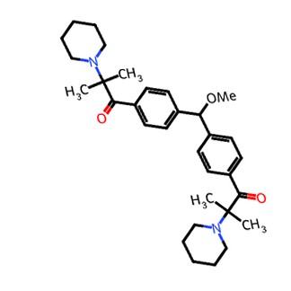 COC(c1ccc(C(=O)C(C)(C)N2CCCCC2)cc1)c1ccc(C(=O)C(C)(C)N2CCCCC2)cc1